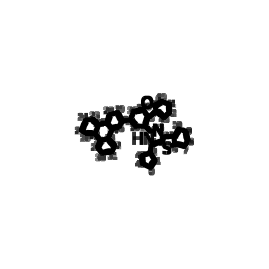 C1=CC(C2=c3sc4ccccc4c3=NC(c3cc(-c4ccc5c6ccccc6c6ccccc6c5c4)cc4oc5ccccc5c34)N2)C=C1